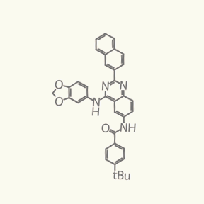 CC(C)(C)c1ccc(C(=O)Nc2ccc3nc(-c4ccc5ccccc5c4)nc(Nc4ccc5c(c4)OCO5)c3c2)cc1